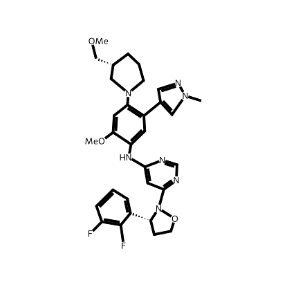 COC[C@@H]1CCCN(c2cc(OC)c(Nc3cc(N4OCC[C@@H]4c4cccc(F)c4F)ncn3)cc2-c2cnn(C)c2)C1